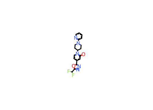 O=c1cc(-c2nnc(C(F)F)o2)ccn1C1CCN(c2ccccn2)CC1